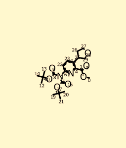 COC(=O)c1nc(N(C(=O)OC(C)(C)C)C(=O)OC(C)(C)C)ccc1C1CCOC1